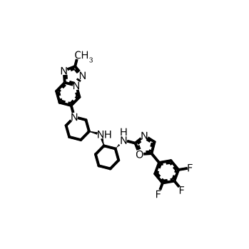 Cc1nc2ccc(N3CCC[C@H](N[C@@H]4CCCC[C@H]4Nc4ncc(-c5cc(F)c(F)c(F)c5)o4)C3)cn2n1